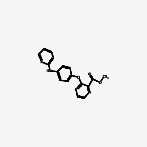 COC(=O)c1nccnc1Oc1ccc(Nc2ccccn2)cc1